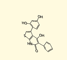 O=c1[nH]c2scc(-c3ccc(O)cc3O)c2c(O)c1-c1ccccc1